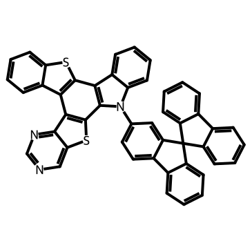 c1ccc2c(c1)-c1ccccc1C21c2ccccc2-c2ccc(-n3c4ccccc4c4c5sc6ccccc6c5c5c6ncncc6sc5c43)cc21